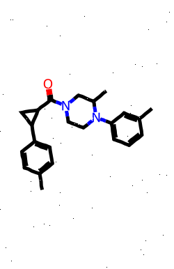 Cc1ccc(C2CC2C(=O)N2CCN(c3cccc(C)c3)C(C)C2)cc1